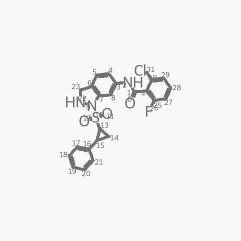 O=C(Nc1ccc2c(c1)N(S(=O)(=O)C1CC1c1ccccc1)NC2)c1c(F)cccc1Cl